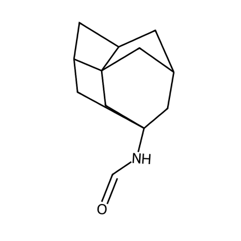 O=CNC12CC3CC4CC(C1)C4(C3)C2